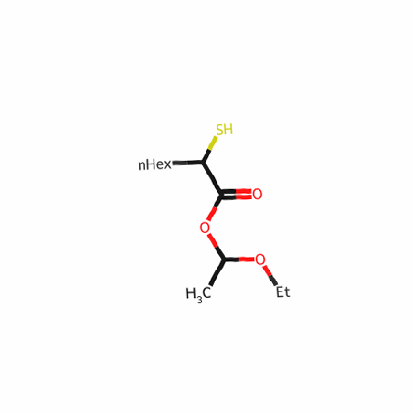 CCCCCCC(S)C(=O)OC(C)OCC